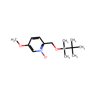 COc1ccc(CO[Si](C)(C)C(C)(C)C)[n+]([O-])c1